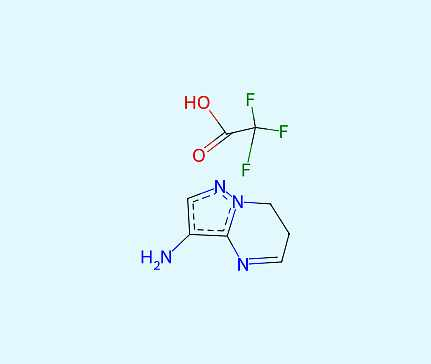 Nc1cnn2c1N=CCC2.O=C(O)C(F)(F)F